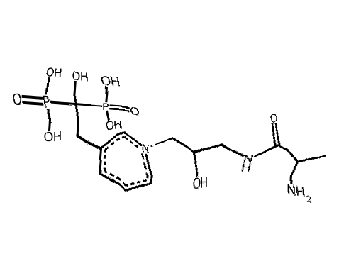 CC(N)C(=O)NCC(O)C[n+]1cccc(CC(O)(P(=O)(O)O)P(=O)(O)O)c1